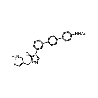 CC(=O)Nc1ccc(-c2ccc(-c3cccc(-n4cnn(C/C(=C/F)CN)c4=O)c3)cc2)cc1